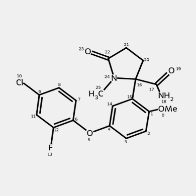 COc1ccc(Oc2ccc(Cl)cc2F)cc1C1(C(N)=O)CCC(=O)N1C